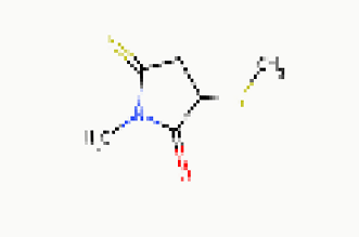 CSC1CC(=S)N(C)C1=O